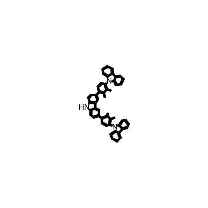 Cc1c(-c2ccc3[nH]c4ccc(-c5ccc(-n6c7ccccc7c7ccccc76)c(C)c5C)cc4c3c2)ccc(-n2c3ccccc3c3ccccc32)c1C